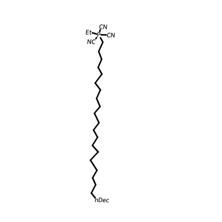 CCCCCCCCCCCCCCCCCCCCCCCCCCCCCCP(C#N)(C#N)(C#N)CC